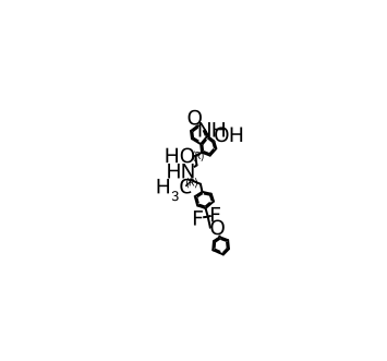 C[C@H](Cc1ccc(C(F)(F)COc2ccccc2)cc1)NC[C@H](O)c1ccc(O)c2[nH]c(=O)ccc12